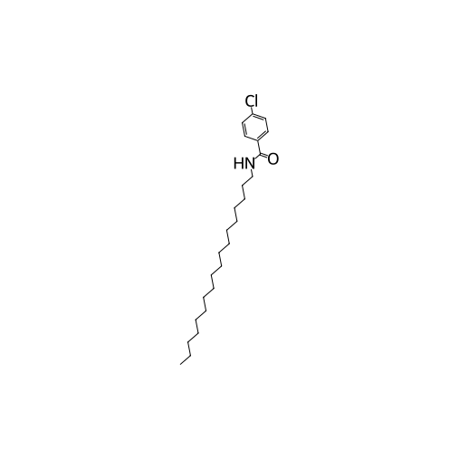 CCCCCCCCCCCCCCCCCCNC(=O)c1ccc(Cl)cc1